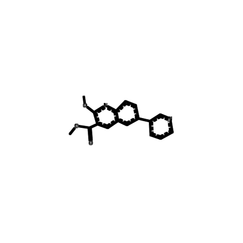 COC(=O)c1cc2cc(-c3cccnc3)ccc2nc1OC